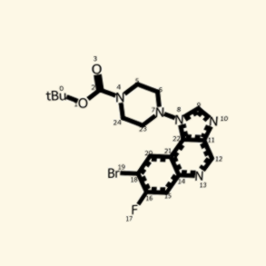 CC(C)(C)OC(=O)N1CCN(n2cnc3cnc4cc(F)c(Br)cc4c32)CC1